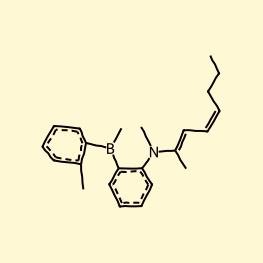 CCC/C=C\C=C(/C)N(C)c1ccccc1B(C)c1ccccc1C